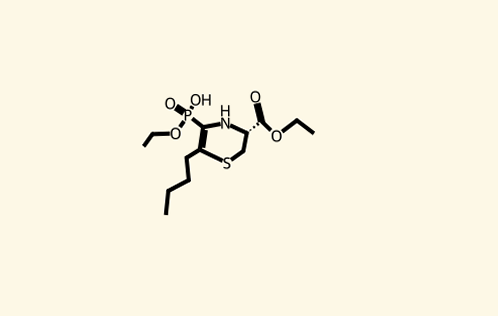 CCCCC1=C(P(=O)(O)OCC)N[C@H](C(=O)OCC)CS1